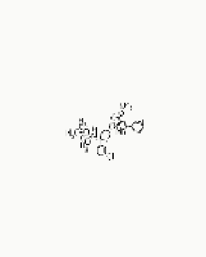 CCOC(=O)c1cc(-c2cccnc2)nnc1O[C@H]1CC[C@](CNC(=O)OC(C)(C)C)(c2cccc(Cl)c2)CC1